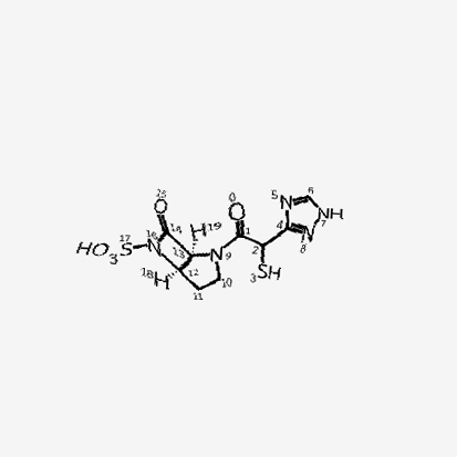 O=C(C(S)c1nc[nH]n1)N1CC[C@@H]2[C@H]1C(=O)N2S(=O)(=O)O